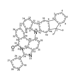 CC1(C)c2ccccc2-c2cc3c4ccccc4n(-c4ccc5nc(-c6ccccc6)n6c(=O)c7ccccc7c4c56)c3cc21